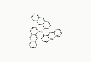 c1ccc2cc3c(B(c4cccc5cc6ccccc6cc45)c4cccc5cc6ccccc6cc45)cccc3cc2c1